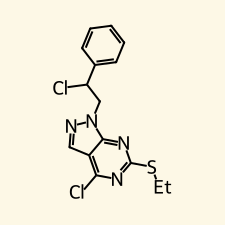 CCSc1nc(Cl)c2cnn(CC(Cl)c3ccccc3)c2n1